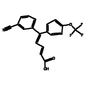 N#Cc1cccc(C(=CC=CC(=O)O)c2ccc(OC(F)(F)F)cc2)c1